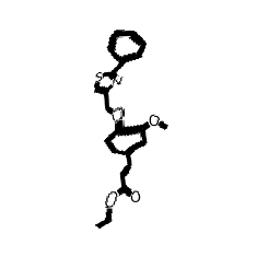 CCOC(=O)C=Cc1ccc(OCc2csc(-c3ccccc3)n2)c(OC)c1